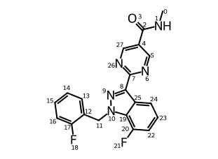 CNC(=O)c1cnc(-c2nn(Cc3ccccc3F)c3c(F)cccc23)nc1